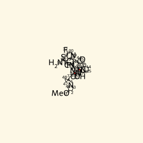 CO[C@@H]1CCN(CC2(COc3nc(N4C5CCC4CN(C[C@@H](C)O)C5)c4c5c(c(-c6ncc(F)c7sc(N)c(C#N)c67)c(F)c4n3)COC5)CC2)C1